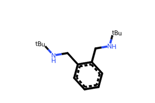 CC(C)(C)NCc1ccccc1CNC(C)(C)C